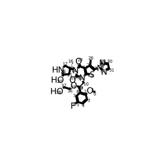 COc1ccc(F)cc1[C@H](Cn1c(=O)n([C@]2(C)CNC(O)C2)c(=O)c2c(C)c(-n3nccn3)sc21)OCCO